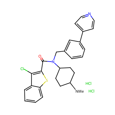 CNC1CCC(N(Cc2cccc(-c3ccncc3)c2)C(=O)c2sc3ccccc3c2Cl)CC1.Cl.Cl